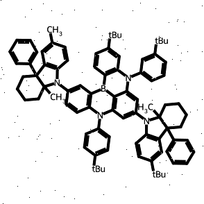 Cc1ccc2c(c1)C1(c3ccccc3)CCCCC1(C)N2c1ccc2c(c1)B1c3ccc(C(C)(C)C)cc3N(c3cccc(C(C)(C)C)c3)c3cc(N4c5ccc(C(C)(C)C)cc5C5(c6ccccc6)CCCCC45C)cc(c31)N2c1ccc(C(C)(C)C)cc1